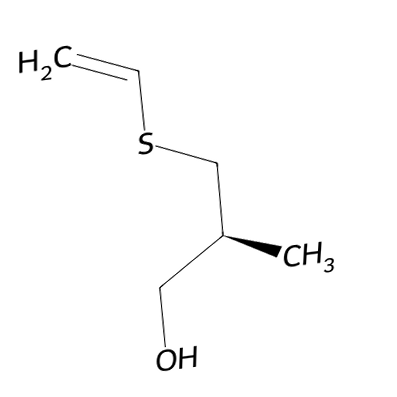 C=CSC[C@@H](C)CO